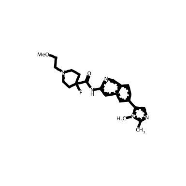 COCCN1CCC(F)(C(=O)Nc2cc3cc(-c4cnc(C)n4C)ccc3cn2)CC1